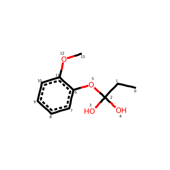 CCC(O)(O)Oc1ccccc1OC